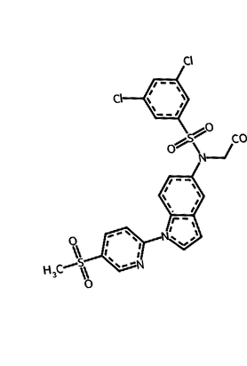 CS(=O)(=O)c1ccc(-n2ccc3cc(N(CC(=O)O)S(=O)(=O)c4cc(Cl)cc(Cl)c4)ccc32)nc1